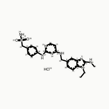 CCn1c(NC)nc2cc(CNc3ccnc(Nc4ccc(CS(N)(=O)=O)cc4)n3)ccc21.Cl